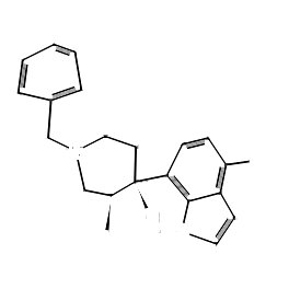 C[C@H]1CN(Cc2ccccc2)CC[C@]1(O)c1ccc(C(F)(F)F)c2ccoc12